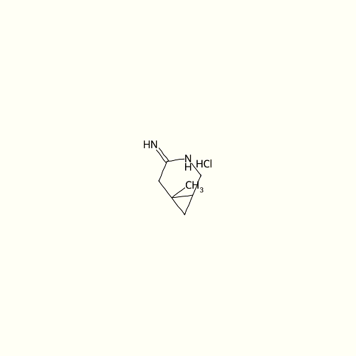 CC12CC(=N)NCC1C2.Cl